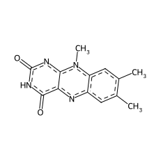 Cc1cc2nc3c(=O)[nH]c(=O)nc-3n(C)c2cc1C